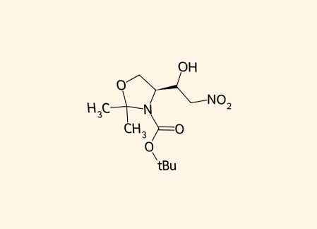 CC(C)(C)OC(=O)N1[C@H](C(O)C[N+](=O)[O-])COC1(C)C